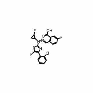 O=C(O)c1cc(F)ccc1/C=N/N(c1nc(-c2ccccc2Cl)c(F)s1)C1CC1F